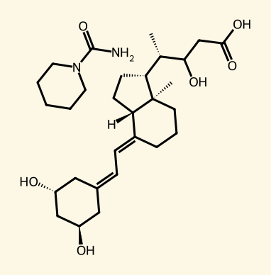 C[C@H](C(O)CC(=O)O)[C@H]1CC[C@H]2C(=CC=C3C[C@@H](O)C[C@H](O)C3)CCC[C@]12C.NC(=O)N1CCCCC1